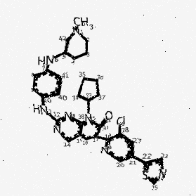 CN1CCCC(Nc2ccc(Nc3ncc4cc(-c5ncc(-c6cncs6)cc5Cl)c(=O)n(C5CCCC5)c4n3)cc2)C1